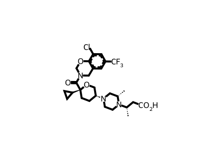 C[C@@H](CC(=O)O)N1CCN([C@@H]2CC[C@@](C(=O)N3COc4c(Cl)cc(C(F)(F)F)cc4C3)(C3CC3)OC2)C[C@@H]1C